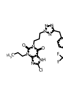 CCCn1c(=O)n(CCCn2nnc(Cc3ccc(OC(F)(F)F)cc3)n2)c(=O)c2[nH]c(Cl)nc21